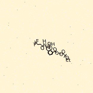 CCOC(C)(C)C(=O)OCOC(=O)c1cccc2c1OB(O)[C@@H](NC(=O)CCC(C)(F)F)C2